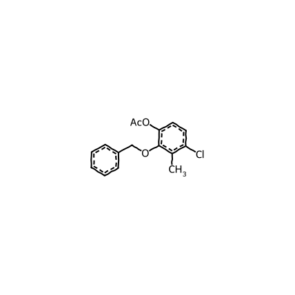 CC(=O)Oc1ccc(Cl)c(C)c1OCc1ccccc1